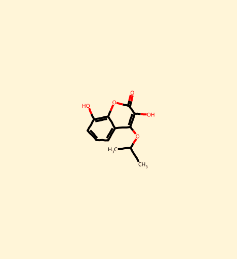 CC(C)Oc1c(O)c(=O)oc2c(O)cccc12